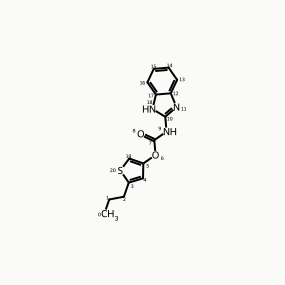 CCCc1cc(OC(=O)Nc2nc3ccccc3[nH]2)cs1